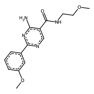 COCCNC(=O)c1cnc(-c2cccc(OC)c2)nc1N